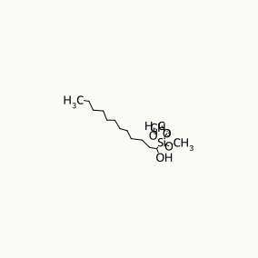 CCCCCCCCCCCC(O)[Si](OC)(OC)OC